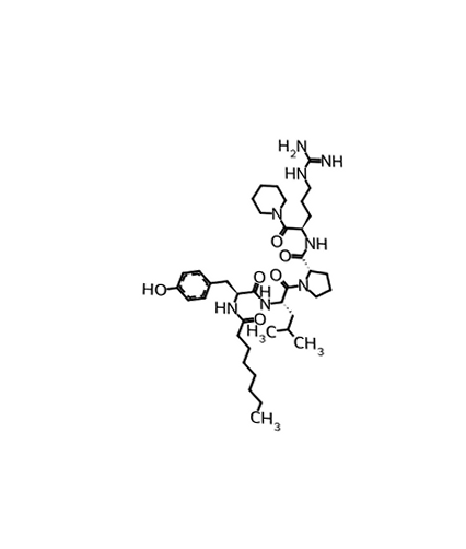 CCCCCCCC(=O)N[C@@H](Cc1ccc(O)cc1)C(=O)N[C@@H](CC(C)C)C(=O)N1CCC[C@H]1C(=O)N[C@H](CCCNC(=N)N)C(=O)N1CCCCC1